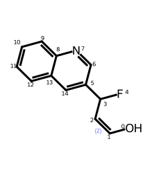 O/C=C\C(F)c1cnc2ccccc2c1